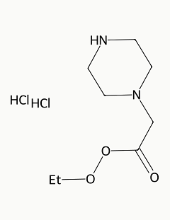 CCOOC(=O)CN1CCNCC1.Cl.Cl